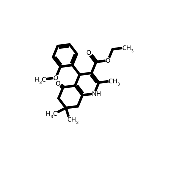 CCOC(=O)C1=C(C)NC2=C(C(=O)CC(C)(C)C2)C1c1ccccc1OC